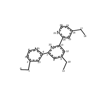 CCc1ccnc(-c2cc(CC)cc(-c3cc(CC)ccn3)n2)c1